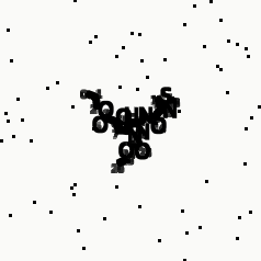 CCCOC(=O)c1cc2c(o1)c(NC(=O)c1cscn1)nn2C(=O)OCC